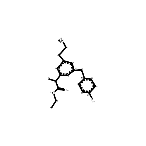 CCOC(=O)C(C)c1cc(CCN)cc(Cc2ccc(F)cc2)c1